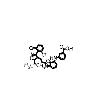 CC(C)C1ON=C(c2c(Cl)cccc2Cl)C1CCc1nc2cccc(Nc3cccc(C(=O)O)c3)c2o1